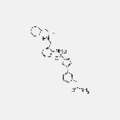 C[C@@H](CC1CCCCC1)NCc1ccccc1NS(=O)(=O)c1ccc(-c2cccc(CC(N)=O)c2)s1